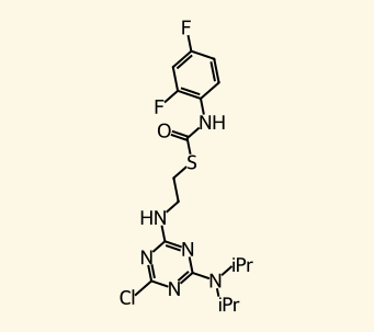 CC(C)N(c1nc(Cl)nc(NCCSC(=O)Nc2ccc(F)cc2F)n1)C(C)C